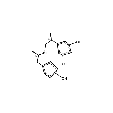 C[C@H](Cc1ccc(O)cc1)NC[C@@H](C)c1cc(O)cc(O)c1